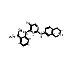 CCc1cnc(Nc2ccc3c(c2)CNCC3)nc1Nc1ccccc1[C@@H](O)NC